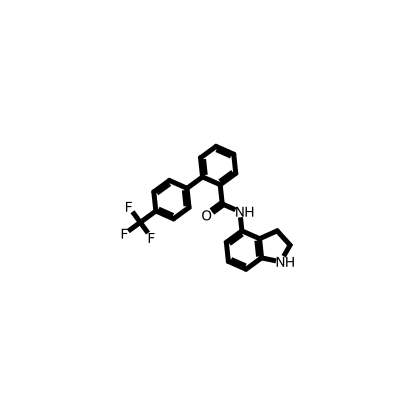 O=C(Nc1cccc2c1CCN2)c1ccccc1-c1ccc(C(F)(F)F)cc1